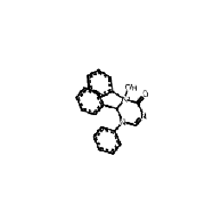 O=C1N=CN(c2ccccc2)C(c2ccccc2)[N+]1(O)c1ccccc1